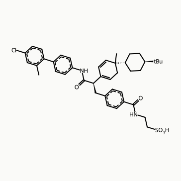 Cc1cc(Cl)ccc1-c1ccc(NC(=O)[C@H](Cc2ccc(C(=O)NCCS(=O)(=O)O)cc2)C2=CCC(C)([C@H]3CC[C@H](C(C)(C)C)CC3)C=C2)cc1